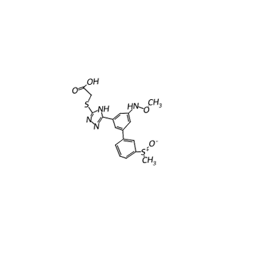 CONc1cc(-c2cccc([S+](C)[O-])c2)cc(-c2nnc(SCC(=O)O)[nH]2)c1